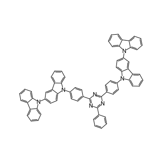 c1ccc(-c2nc(-c3ccc(-n4c5ccccc5c5cc(-n6c7ccccc7c7ccccc76)ccc54)cc3)nc(-c3ccc(-n4c5ccccc5c5cc(-n6c7ccccc7c7ccccc76)ccc54)cc3)n2)cc1